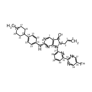 C=CCn1c(=O)c2cnc(Nc3ccc(C4CCN(C)CC4)cc3)nc2n1-c1cccc(-c2ncc(F)cn2)n1